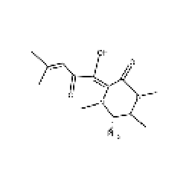 CC(C)=CC(=O)/C(O)=C1/C(=O)N(C)C(C)[C@H](P)N1C